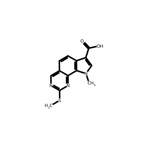 CSc1ncc2ccc3c(C(=O)O)cn(C)c3c2n1